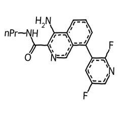 CCCNC(=O)c1ncc2c(-c3cc(F)cnc3F)cccc2c1N